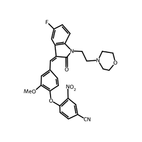 COc1cc(C=C2C(=O)N(CCN3CCOCC3)c3ccc(F)cc32)ccc1Oc1ccc(C#N)cc1[N+](=O)[O-]